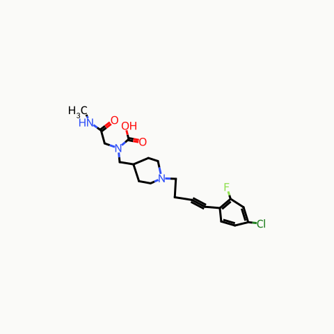 CNC(=O)CN(CC1CCN(CCC#Cc2ccc(Cl)cc2F)CC1)C(=O)O